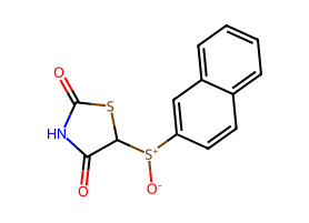 O=C1NC(=O)C([S+]([O-])c2ccc3ccccc3c2)S1